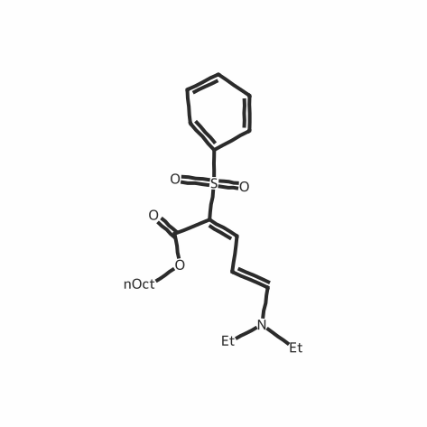 CCCCCCCCOC(=O)/C(=C\C=CN(CC)CC)S(=O)(=O)c1ccccc1